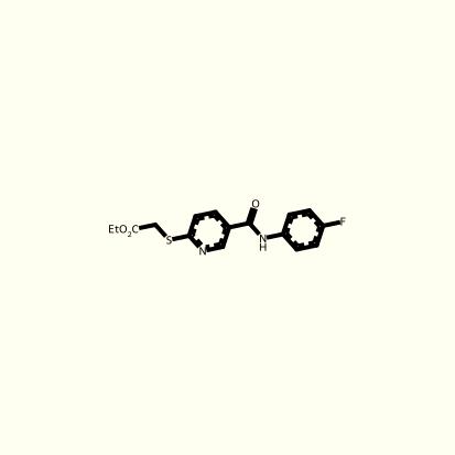 CCOC(=O)CSc1ccc(C(=O)Nc2ccc(F)cc2)cn1